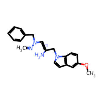 C=NN(/C=C(\N)Cn1ccc2cc(OC)ccc21)Cc1ccccc1